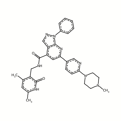 Cc1cc(C)c(CNC(=O)c2cc(-c3ccc(N4CCN(C)CC4)nc3)nc3c2cnn3-c2ccccc2)c(=O)[nH]1